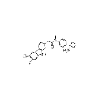 NC1(c2ccc(NC(=O)Cc3ccc4c(c3)[nH]c3cc(F)c(Cl)cc34)cc2)CCC1